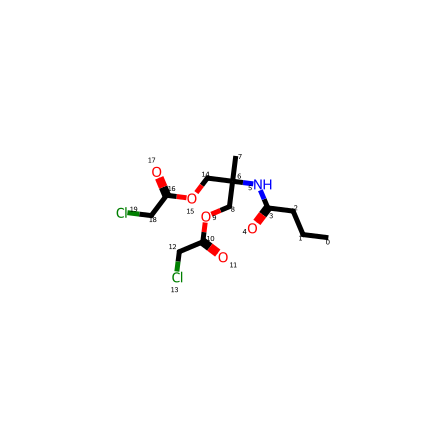 CCCC(=O)NC(C)(COC(=O)CCl)COC(=O)CCl